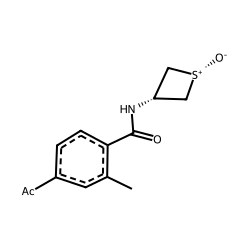 CC(=O)c1ccc(C(=O)N[C@H]2C[S@@+]([O-])C2)c(C)c1